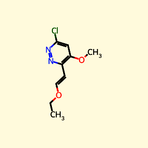 CCOC=Cc1nnc(Cl)cc1OC